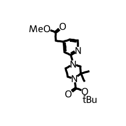 COC(=O)Cc1ccnc(N2CCN(C(=O)OC(C)(C)C)C(C)(C)C2)c1